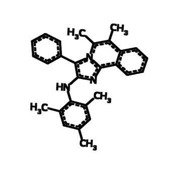 Cc1cc(C)c(Nc2nc3c4ccccc4c(C)c(C)n3c2-c2ccccc2)c(C)c1